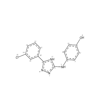 Oc1ccc(Nc2nnc(-c3cccc(Cl)c3)[nH]2)cc1